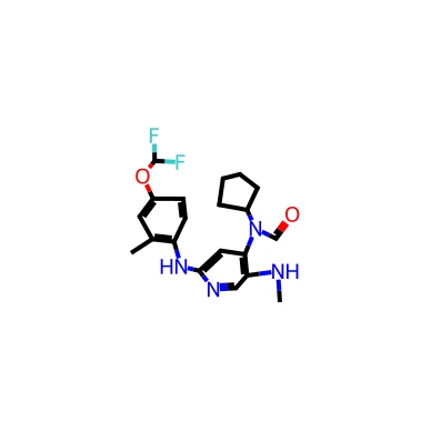 CNc1cnc(Nc2ccc(OC(F)F)cc2C)cc1N(C=O)C1CCCC1